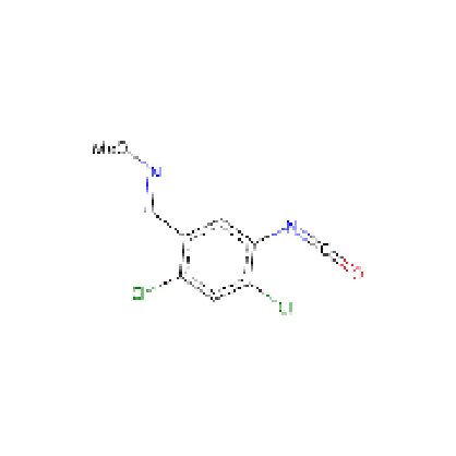 CON=Cc1cc(N=C=O)c(Cl)cc1Cl